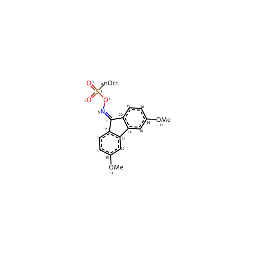 CCCCCCCCS(=O)(=O)ON=C1c2ccc(OC)cc2-c2cc(OC)ccc21